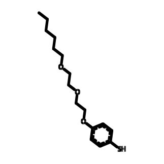 CCCCCCOCCOCCOc1ccc(S)cc1